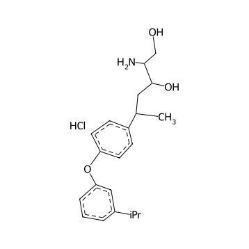 CC(C)c1cccc(Oc2ccc(C(C)CC(O)C(N)CO)cc2)c1.Cl